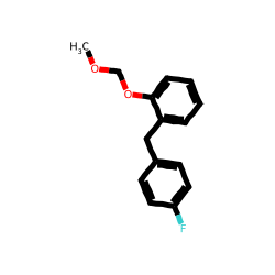 COCOc1cc[c]cc1Cc1ccc(F)cc1